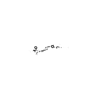 Cc1sc2c(c1C)C(c1ccc(Cl)cc1)=N[C@@H](CC(=O)NCCCC(=O)N1CCN(CCOc3ccc(-c4nc(CC(=O)NCC(=O)O)cs4)c(Cl)c3)CC1)c1nnc(C)n1-2